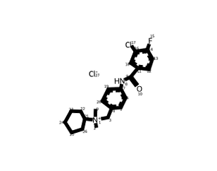 C[N+](C)(Cc1ccc(NC(=O)c2ccc(F)c(Cl)c2)cc1)C1CCCCC1.[Cl-]